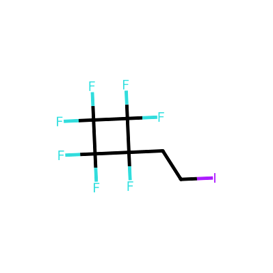 FC1(F)C(F)(F)C(F)(CCI)C1(F)F